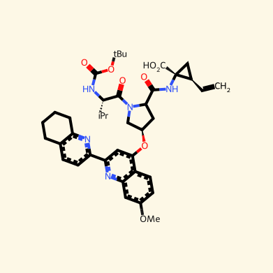 C=C[C@@H]1C[C@]1(NC(=O)C1C[C@@H](Oc2cc(-c3ccc4c(n3)CCCC4)nc3cc(OC)ccc23)CN1C(=O)[C@@H](NC(=O)OC(C)(C)C)C(C)C)C(=O)O